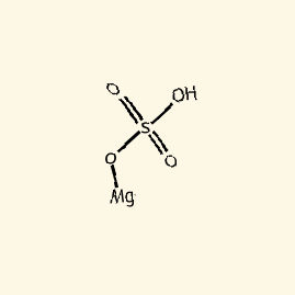 O=S(=O)(O)[O][Mg]